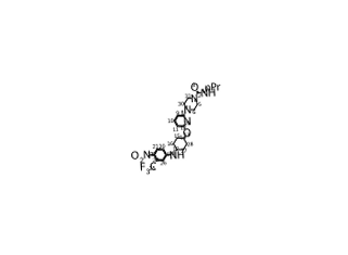 CCCNC(=O)N1CCN(c2cccc(OC3CCC(Nc4ccc([N+](=O)[O-])c(C(F)(F)F)c4)CC3)n2)CC1